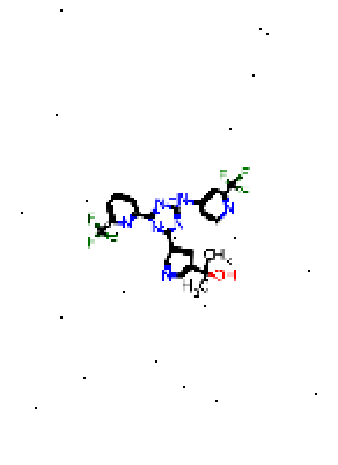 CC(C)(O)c1cncc(-c2nc(Nc3ccnc(C(F)(F)F)c3)nc(-c3cccc(C(F)(F)F)n3)n2)c1